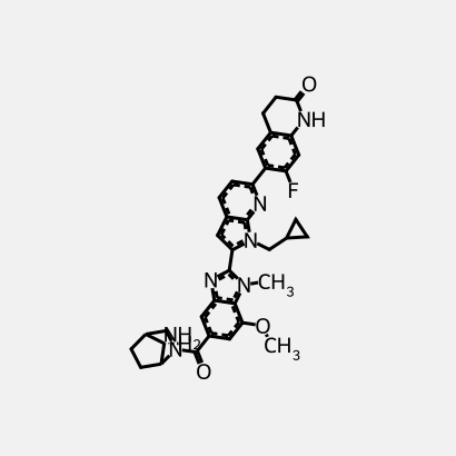 COc1cc(C(=O)N2CC3CCC2[C@@H]3N)cc2nc(-c3cc4ccc(-c5cc6c(cc5F)NC(=O)CC6)nc4n3CC3CC3)n(C)c12